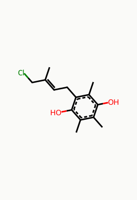 C/C(=C\Cc1c(C)c(O)c(C)c(C)c1O)CCl